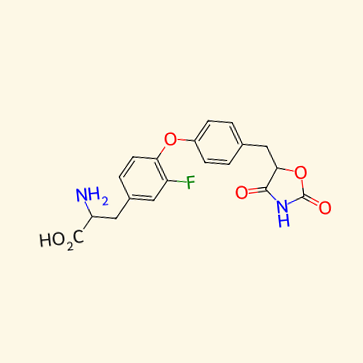 NC(Cc1ccc(Oc2ccc(CC3OC(=O)NC3=O)cc2)c(F)c1)C(=O)O